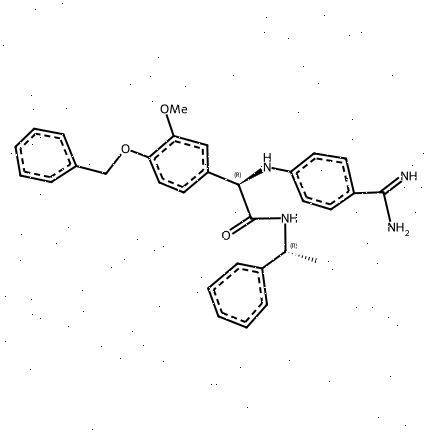 COc1cc([C@@H](Nc2ccc(C(=N)N)cc2)C(=O)N[C@H](C)c2ccccc2)ccc1OCc1ccccc1